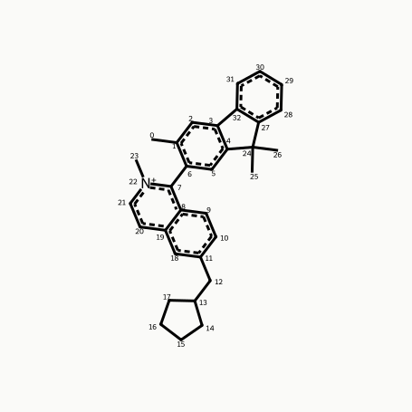 Cc1cc2c(cc1-c1c3ccc(CC4CCCC4)cc3cc[n+]1C)C(C)(C)c1ccccc1-2